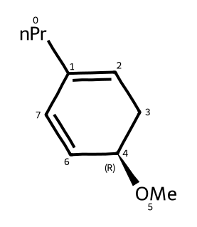 CCCC1=CC[C@@H](OC)C=C1